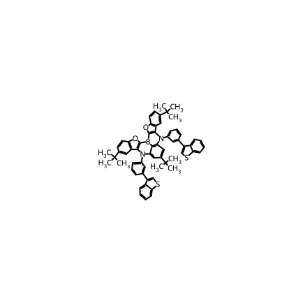 CC(C)(C)c1cc2c3c(c1)N(c1cccc(-c4csc5ccccc45)c1)c1c(oc4ccc(C(C)(C)C)cc14)B3c1oc3ccc(C(C)(C)C)cc3c1N2c1cccc(-c2csc3ccccc23)c1